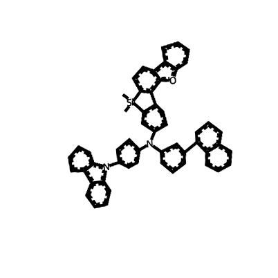 C[Si]1(C)c2cc(N(c3ccc(-n4c5ccccc5c5ccccc54)cc3)c3cccc(-c4cccc5ccccc45)c3)ccc2-c2c1ccc1c2oc2ccccc21